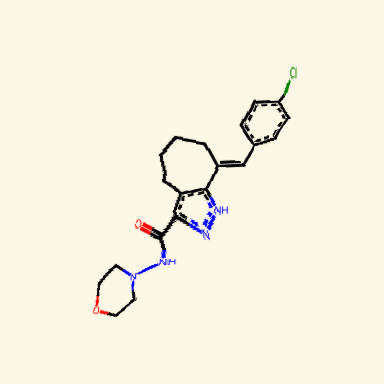 O=C(NN1CCOCC1)c1n[nH]c2c1CCCC/C2=C\c1ccc(Cl)cc1